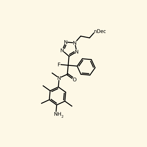 CCCCCCCCCCCCn1nnc(C(F)(C(=O)N(C)c2cc(C)c(N)c(C)c2C)c2ccccc2)n1